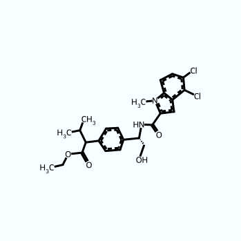 CCOC(=O)C(c1ccc([C@@H](CO)NC(=O)c2cc3c(Cl)c(Cl)ccc3n2C)cc1)C(C)C